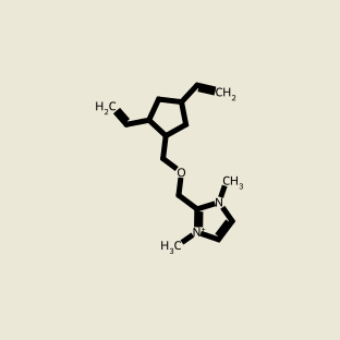 C=CC1CC(C=C)C(COCc2n(C)cc[n+]2C)C1